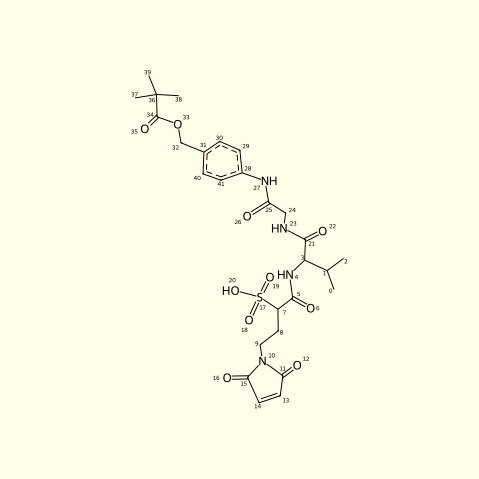 CC(C)C(NC(=O)C(CCN1C(=O)C=CC1=O)S(=O)(=O)O)C(=O)NCC(=O)Nc1ccc(COC(=O)C(C)(C)C)cc1